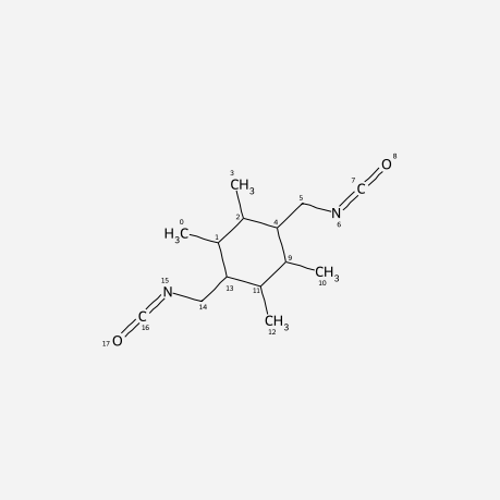 CC1C(C)C(CN=C=O)C(C)C(C)C1CN=C=O